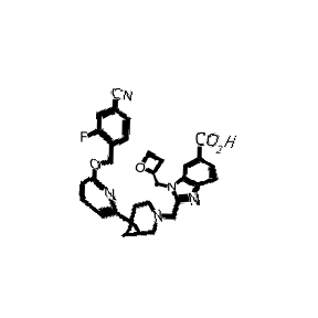 N#Cc1ccc(COc2cccc(C34CCN(Cc5nc6ccc(C(=O)O)cc6n5C[C@@H]5CCO5)CC3C4)n2)c(F)c1